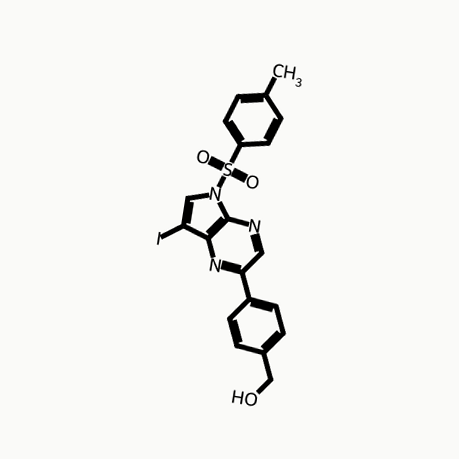 Cc1ccc(S(=O)(=O)n2cc(I)c3nc(-c4ccc(CO)cc4)cnc32)cc1